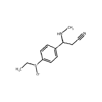 CC[S+]([O-])c1ccc(C(CC#N)NC)cc1